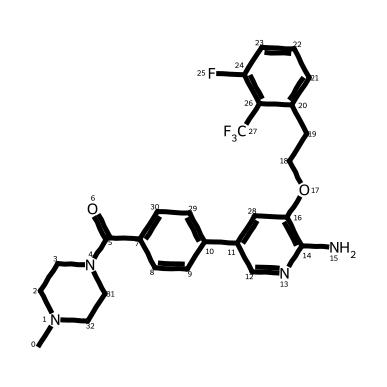 CN1CCN(C(=O)c2ccc(-c3cnc(N)c(OCCc4cccc(F)c4C(F)(F)F)c3)cc2)CC1